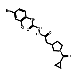 O=C(CC1CCN(C(=O)C2CC2)C1)NNC(=O)Nc1ccc(Br)cc1Cl